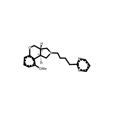 COc1cccc2c1[C@@H]1CN(CCCCc3ncccn3)C[C@H]1CO2